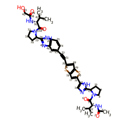 CC(=O)N[C@@H](C(=O)N1CCCC1c1ncc(-c2cc3sc(C#Cc4ccc5[nH]c(C6CCCN6C(=O)[C@H](NC(=O)CO)C(C)C)nc5c4)cc3s2)[nH]1)C(C)C